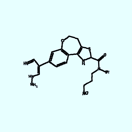 CC(C)N(CCCN=O)C(=O)C1NC2=C(CCOc3cc(/C(C=N)=C/NN)ccc32)S1